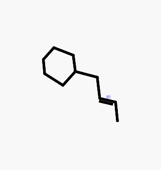 C/C=C/CC1CCCCC1